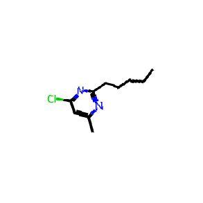 CCCCCc1nc(C)cc(Cl)n1